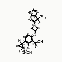 C[C@@](N)(C(=O)N1CC(Oc2ccc3c(c2C(=O)O)O[B-](O)(O)[C@@H]2C[C@H]32)C1)c1c[nH]cn1